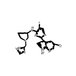 Fc1cnc(-c2c[nH]c3ncc(Cl)cc23)nc1NC1CCCN(Cc2ncc[nH]2)C1